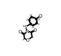 O=C1COCC(=O)N1Sc1ccc(Cl)cc1